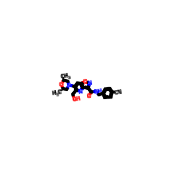 C[C@@H]1CN(c2cc3onc(C(=O)NCc4ccc(C#N)cc4)c3nc2CO)C[C@H](C)O1